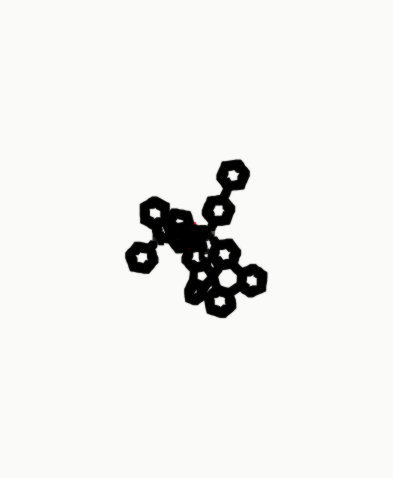 c1ccc(-c2ccc(N(c3ccc4c(c3)C3(c5ccccc5-c5ccccc5-4)c4ccccc4-c4cc5c(cc43)oc3ccccc35)c3ccc4c(c3)c3ccccc3n4-c3ccccc3)cc2)cc1